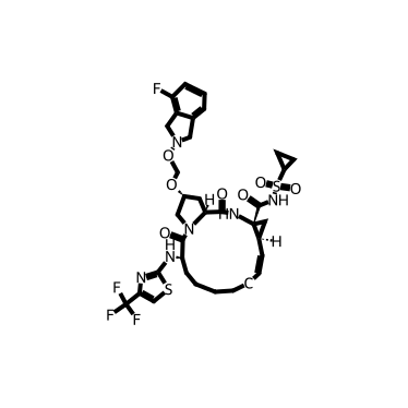 O=C1N[C@]2(C(=O)NS(=O)(=O)C3CC3)C[C@H]2/C=C\CCCCC[C@H](Nc2nc(C(F)(F)F)cs2)C(=O)N2C[C@H](OCON3Cc4cccc(F)c4C3)C[C@@H]12